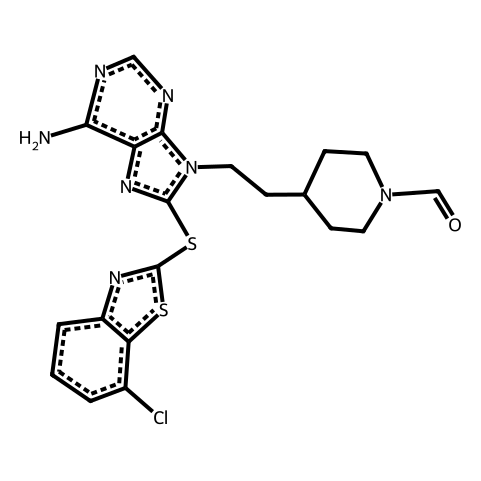 Nc1ncnc2c1nc(Sc1nc3cccc(Cl)c3s1)n2CCC1CCN(C=O)CC1